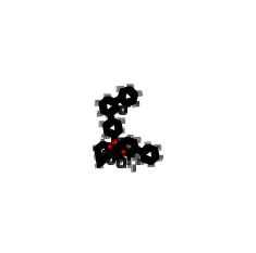 CC1(C)OB(C23CCC(N(c4ccc(-c5ccccc5)cc4)c4ccc(-c5cccc6c5oc5ccccc56)cc4)CC2C3)OC1(C)C